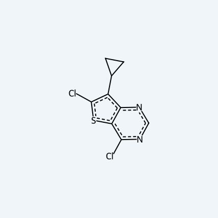 Clc1sc2c(Cl)ncnc2c1C1CC1